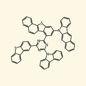 c1ccc2cc3c(cc2c1)c1ccccc1n3-c1cc(-c2nc(-c3ccc4sc5ccccc5c4c3)nc(-n3c4ccccc4c4ccccc43)n2)c2c(c1)sc1c3ccccc3ccc12